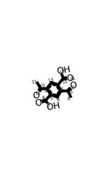 CC(=O)c1cc(C(=O)O)c(C(C)=O)cc1C(=O)O